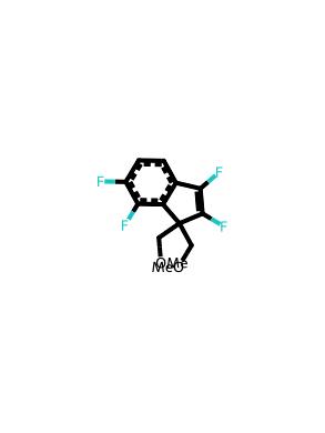 COCC1(COC)C(F)=C(F)c2ccc(F)c(F)c21